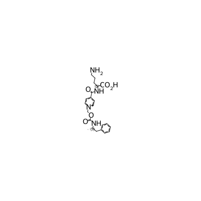 C[C@@H](Cc1ccccc1)NC(=O)OC[n+]1ccc(C(=O)N[C@@H](CCCN)C(=O)O)cc1